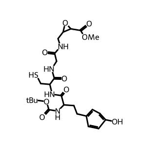 COC(=O)C1OC1CNC(=O)CNC(=O)C(CS)NC(=O)C(CCc1ccc(O)cc1)NC(=O)OC(C)(C)C